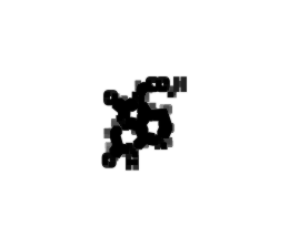 O=C(O)Cn1c(=O)n2c3c(nccc31)NC(=O)C2